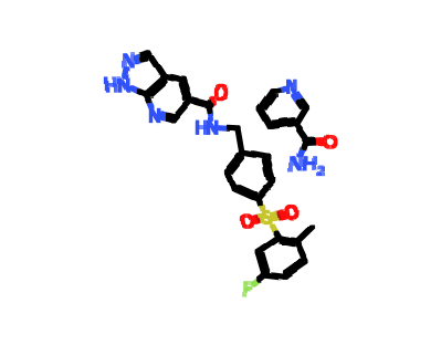 Cc1ccc(F)cc1S(=O)(=O)c1ccc(CNC(=O)c2cnc3[nH]ncc3c2)cc1.NC(=O)c1cccnc1